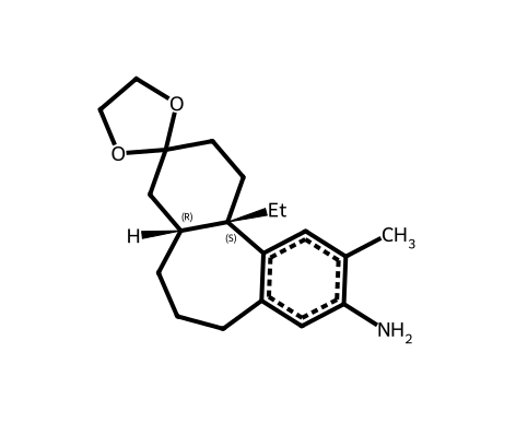 CC[C@]12CCC3(C[C@H]1CCCc1cc(N)c(C)cc12)OCCO3